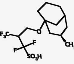 C[C@@H]1CC2CCCC(OCC(C(F)(F)F)C(F)(F)S(=O)(=O)O)(C2)C1